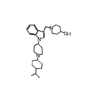 CC(C)C1CCC(N2CCC(n3cc(CN4CCC(O)CC4)c4ccccc43)CC2)CC1